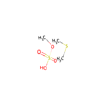 COS(=O)(=O)O.CSC